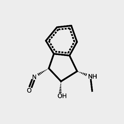 CN[C@H]1c2ccccc2[C@@H](N=O)[C@H]1O